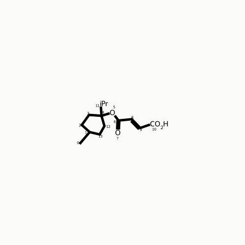 CC1CCC(OC(=O)C=CC(=O)O)(C(C)C)CC1